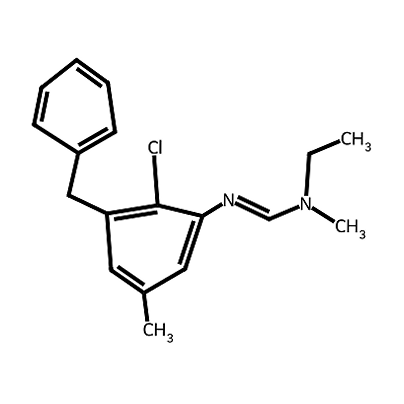 CCN(C)C=Nc1cc(C)cc(Cc2ccccc2)c1Cl